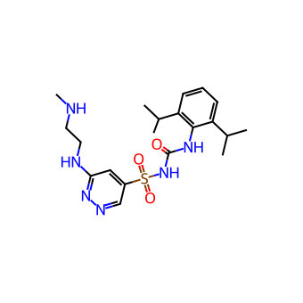 CNCCNc1cc(S(=O)(=O)NC(=O)Nc2c(C(C)C)cccc2C(C)C)cnn1